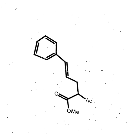 COC(=O)C(CC=Cc1ccccc1)C(C)=O